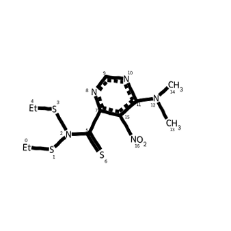 CCSN(SCC)C(=S)c1ncnc(N(C)C)c1[N+](=O)[O-]